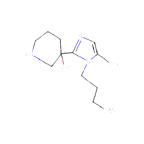 COCCCn1c(C(C)(C)C)cnc1C1(O)CCCNC1